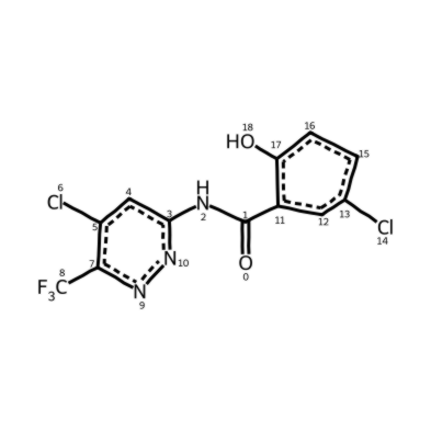 O=C(Nc1cc(Cl)c(C(F)(F)F)nn1)c1cc(Cl)ccc1O